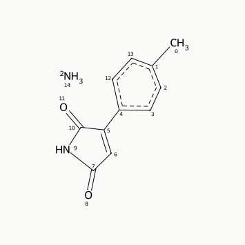 Cc1ccc(C2=CC(=O)NC2=O)cc1.[2NH3]